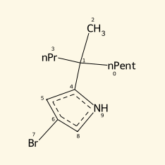 CCCCCC(C)(CCC)c1cc(Br)c[nH]1